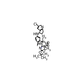 CN1/C(=N\C(=O)OC(C)(C)C)N[C@](C)(c2cc(NC3CCc4ncc(Cl)cc43)ccc2F)CS1(=O)=O